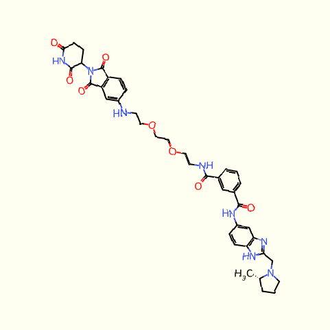 C[C@H]1CCCN1Cc1nc2cc(NC(=O)c3cccc(C(=O)NCCOCCOCCNc4ccc5c(c4)C(=O)N(C4CCC(=O)NC4=O)C5=O)c3)ccc2[nH]1